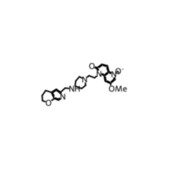 COc1cc2c(ccc(=O)n2CCN2CCC(NCc3cc4c(cn3)OCCC4)CC2)[n+]([O-])c1